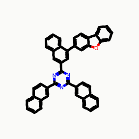 c1ccc2cc(-c3nc(-c4ccc5ccccc5c4)nc(-c4cc(-c5ccc6c(c5)oc5ccccc56)c5ccccc5c4)n3)ccc2c1